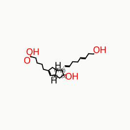 O=C(O)CCCCC1=C[C@@H]2C[C@H](O)[C@@H](C=CCCC=CCCO)[C@@H]2C1